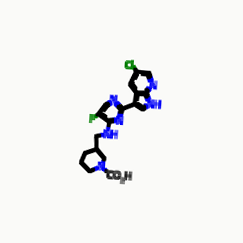 O=C(O)N1CCCC(CNc2nc(-c3c[nH]c4ncc(Cl)cc34)ncc2F)C1